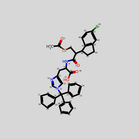 CC(=O)SCC(C(=O)NC(Cc1cn(C(c2ccccc2)(c2ccccc2)c2ccccc2)cn1)C(=O)O)C1CCc2cc(Br)ccc21